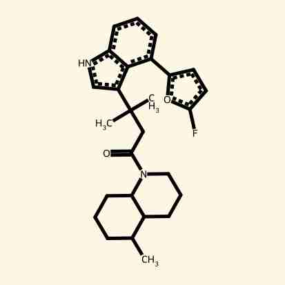 CC1CCCC2C1CCCN2C(=O)CC(C)(C)c1c[nH]c2cccc(-c3ccc(F)o3)c12